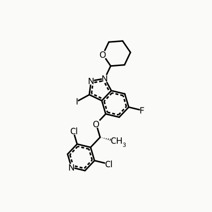 C[C@@H](Oc1cc(F)cc2c1c(I)nn2C1CCCCO1)c1c(Cl)cncc1Cl